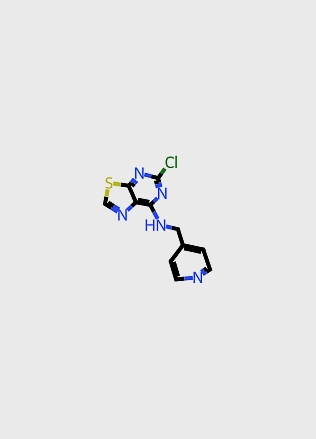 Clc1nc(NCc2ccncc2)c2ncsc2n1